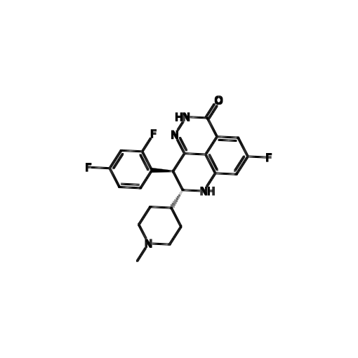 CN1CCC([C@H]2Nc3cc(F)cc4c(=O)[nH]nc(c34)[C@@H]2c2ccc(F)cc2F)CC1